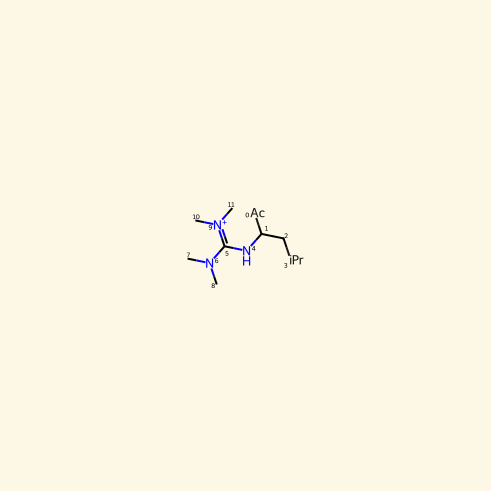 CC(=O)C(CC(C)C)NC(N(C)C)=[N+](C)C